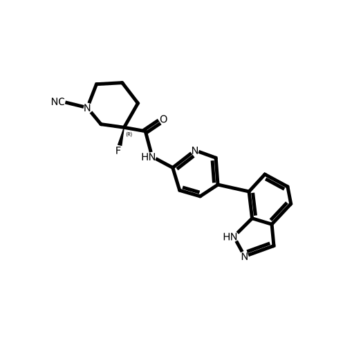 N#CN1CCC[C@](F)(C(=O)Nc2ccc(-c3cccc4cn[nH]c34)cn2)C1